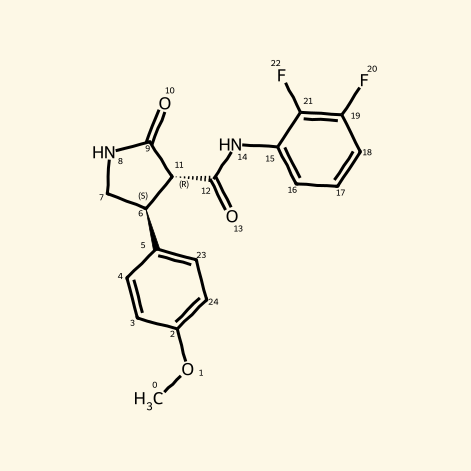 COc1ccc([C@H]2CNC(=O)[C@@H]2C(=O)Nc2cccc(F)c2F)cc1